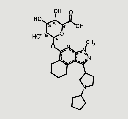 Cn1nc(C2CCN(C3CCCC3)C2)c2c3c(c(O[C@@H]4O[C@H](C(=O)O)[C@H](O)[C@H](O)[C@H]4O)nc21)CCCC3